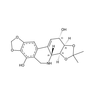 CC1(C)O[C@@H]2[C@H](O1)[C@@H](O)C=C1c3cc4c(c(O)c3CN[C@H]12)OCO4